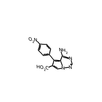 Nc1ncnn2cc(C(=O)O)c(-c3ccc([N+](=O)[O-])cc3)c12